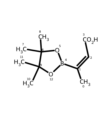 C/C(=C/C(=O)O)B1OC(C)(C)C(C)(C)O1